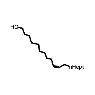 CCCCCCCC/C=C\CCCCCCC[CH]CO